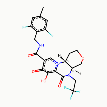 Cc1cc(F)c(CNC(=O)c2cn3c(c(O)c2=O)C(=O)N(CC(F)(F)F)[C@@H]2COCC[C@H]23)c(F)c1